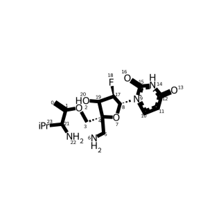 C=C(OC[C@@]1(CN)O[C@@H](n2ccc(=O)[nH]c2=O)[C@H](F)C1O)C(N)C(C)C